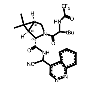 CC(C)(C)C(NC(=O)C(F)(F)F)C(=O)N1C[C@H]2[C@@H]([C@H]1C(=O)NC(C#N)c1cnnc3ccccc13)C2(C)C